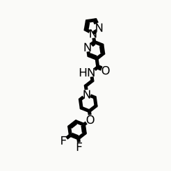 O=C(NCCN1CCC(Oc2ccc(F)c(F)c2)CC1)c1ccc(-n2cccn2)nc1